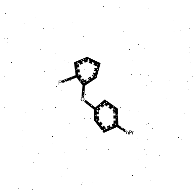 CCCc1ccc(Oc2ccccc2F)cc1